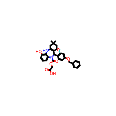 CC1(C)CC(=O)C2=C(C1)Nc1c(O)cccc1N(C(=O)OCC(=O)O)C2c1ccc(OCc2ccccc2)cc1F